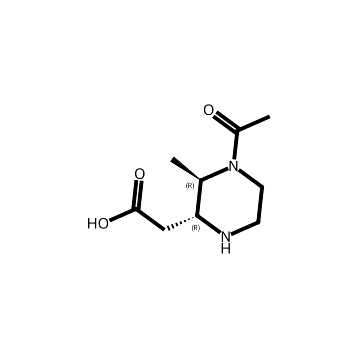 CC(=O)N1CCN[C@H](CC(=O)O)[C@H]1C